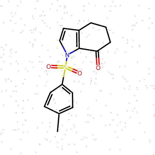 Cc1ccc(S(=O)(=O)n2ccc3c2C(=O)CCC3)cc1